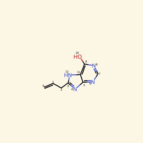 C=CCc1nc2ncnc(O)c2[nH]1